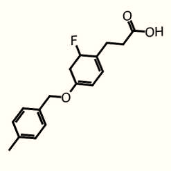 Cc1ccc(COC2=CC=C(CCC(=O)O)C(F)C2)cc1